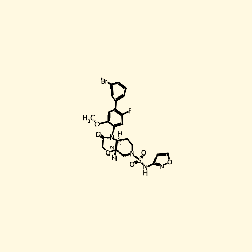 COc1cc(-c2cccc(Br)c2)c(F)cc1N1C(=O)CO[C@H]2CN(S(=O)(=O)Nc3ccon3)CC[C@@H]21